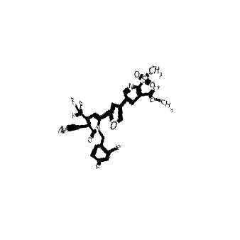 COC(=O)c1cc(-c2coc(-c3cc(C(F)(F)F)c(C#N)c(=O)n3Cc3ccc(F)cc3F)c2)cnc1S(C)(=O)=O